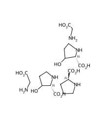 NCC(=O)O.NCC(=O)O.O=C(O)[C@@H]1CCCN1.O=C(O)[C@H]1NCCC1O.O=C(O)[C@H]1NCCC1O